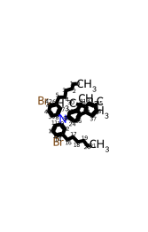 CCCCCCc1cc(N(c2ccc(Br)c(CCCCCC)c2)c2ccc3c(c2)C(C)(C)c2cc(C)ccc2-3)ccc1Br